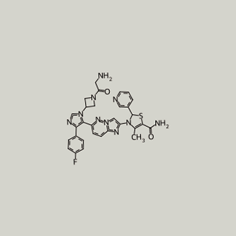 CC1=C(C(N)=O)SC(c2cccnc2)N1c1cn2nc(-c3c(-c4ccc(F)cc4)ncn3C3CN(C(=O)CN)C3)ccc2n1